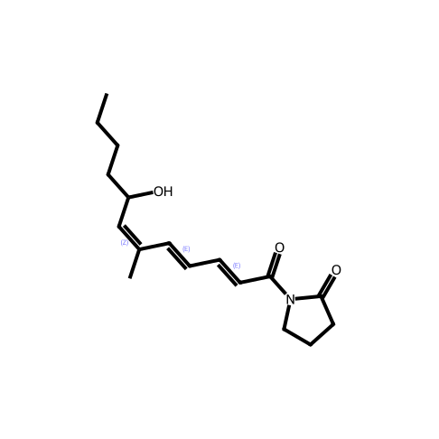 CCCCC(O)\C=C(C)/C=C/C=C/C(=O)N1CCCC1=O